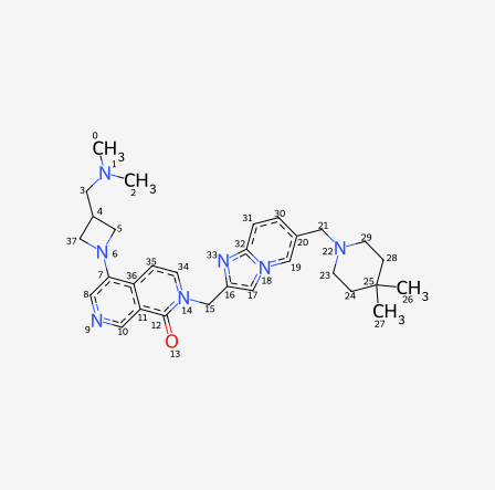 CN(C)CC1CN(c2cncc3c(=O)n(Cc4cn5cc(CN6CCC(C)(C)CC6)ccc5n4)ccc23)C1